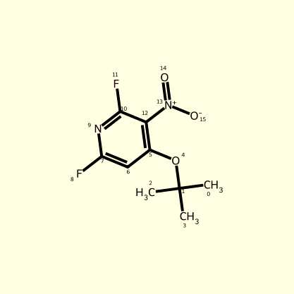 CC(C)(C)Oc1cc(F)nc(F)c1[N+](=O)[O-]